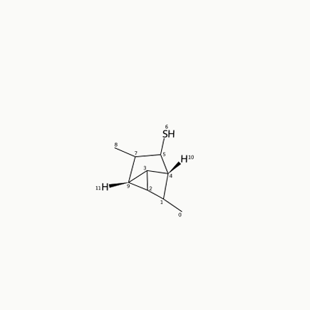 CC1C2C3[C@@H]1C(S)C(C)[C@@H]23